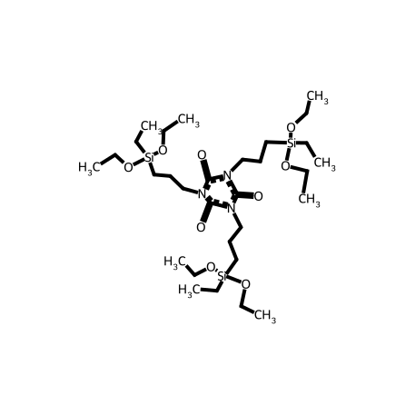 CCO[Si](CC)(CCCn1c(=O)n(CCC[Si](CC)(OCC)OCC)c(=O)n(CCC[Si](CC)(OCC)OCC)c1=O)OCC